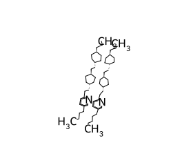 CCCCCc1ccc(CC[C@H]2CC[C@H](CC[C@H]3CC[C@H](CCC)CC3)CC2)nc1.CCCCc1ccc(CC[C@H]2CC[C@H](CC[C@H]3CC[C@H](CCC)CC3)CC2)nc1